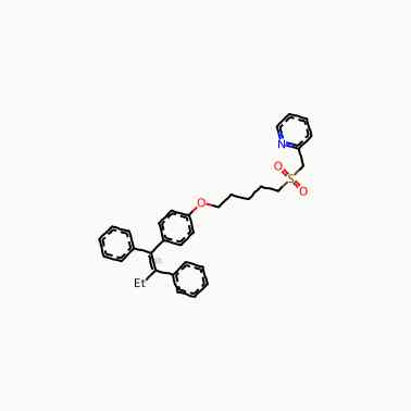 CC/C(=C(\c1ccccc1)c1ccc(OCCCCCS(=O)(=O)Cc2ccccn2)cc1)c1ccccc1